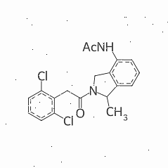 CC(=O)Nc1cccc2c1CN(C(=O)Cc1c(Cl)cccc1Cl)C2C